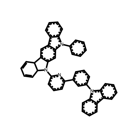 C1=CC2c3cc4c5ccccc5n(-c5ccccc5)c4cc3N(c3cccc(-c4cccc(-n5c6ccccc6c6ccccc65)c4)n3)C2C=C1